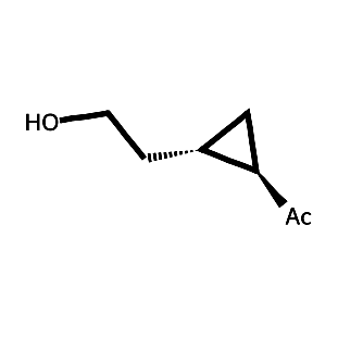 CC(=O)[C@@H]1C[C@H]1CCO